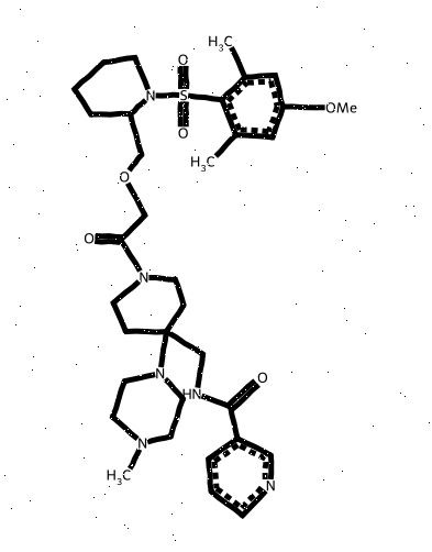 COc1cc(C)c(S(=O)(=O)N2CCCCC2COCC(=O)N2CCC(CNC(=O)c3cccnc3)(N3CCN(C)CC3)CC2)c(C)c1